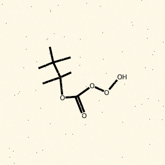 CC(C)(C)C(C)(C)OC(=O)OOO